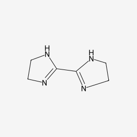 C1CNC(C2=NCCN2)=N1